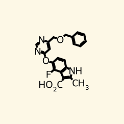 Cc1[nH]c2ccc(Oc3cc(COCc4ccccc4)ncn3)c(F)c2c1C(=O)O